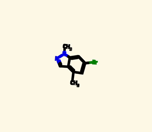 Cc1cc(Br)cc2c1cnn2C